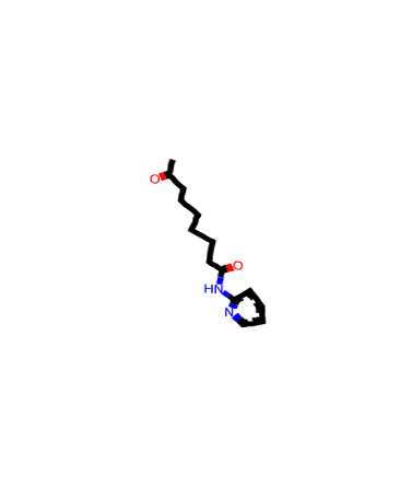 CC(=O)CCCCCCC(=O)Nc1ccccn1